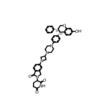 O=C1CCC(N2Cc3cc(N4CC(N5CCN(c6ccc([C@H]7c8ccc(O)cc8OC[C@H]7c7ccccc7)cc6)CC5)C4)ccc3C2=O)C(=O)N1